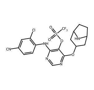 [C-]#[N+]c1ccc(Nc2ncnc(OC3CC4CCC(C3)N4)c2OS(=O)(=O)C(F)(F)F)c(Cl)c1